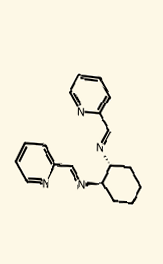 C(=N[C@@H]1CCCC[C@H]1N=Cc1ccccn1)c1ccccn1